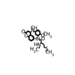 CCNC(CCSC)C(=O)Nc1cc(N(C)c2cc(=O)oc3ccccc23)ccc1OC